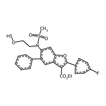 CCOC(=O)c1c(-c2ccc(F)cc2)oc2cc(N(CCOS)S(C)(=O)=O)c(-c3ccccc3)cc12